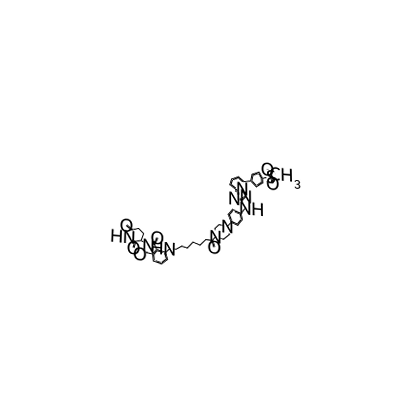 CS(=O)(=O)c1ccc(-c2cccc3nc(Nc4ccc(N5CCN(C(=O)CCCCCCNc6cccc7c6C(=O)N(C6CCC(=O)NC6=O)C7=O)CC5)cc4)nn23)cc1